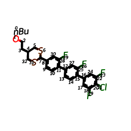 CCCCOCCC1CSC(c2ccc(-c3ccc(-c4cc(F)c(Cl)c(F)c4)c(F)c3)c(F)c2)SC1